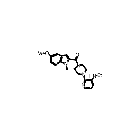 CCNc1cccnc1N1CCN(C(=O)c2cc3cc(OC)ccc3n2C)CC1